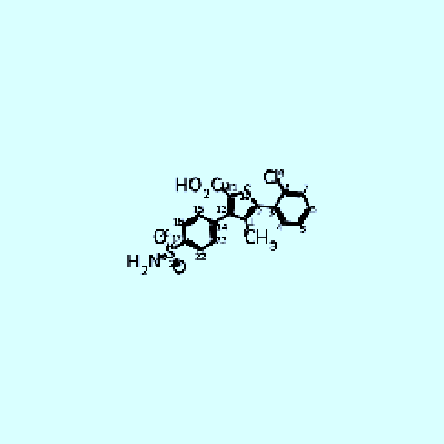 Cc1c(-c2ccccc2Cl)sc(C(=O)O)c1-c1ccc(S(N)(=O)=O)cc1